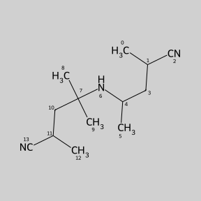 CC(C#N)CC(C)NC(C)(C)CC(C)C#N